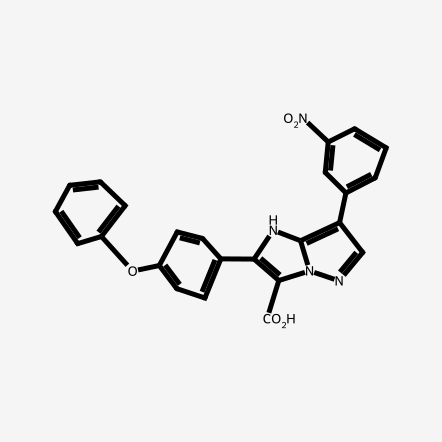 O=C(O)c1c(-c2ccc(Oc3ccccc3)cc2)[nH]c2c(-c3cccc([N+](=O)[O-])c3)cnn12